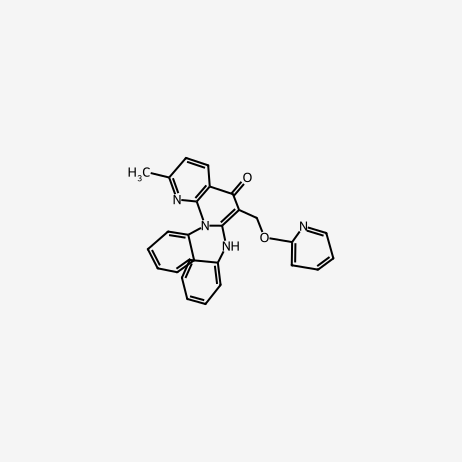 Cc1ccc2c(=O)c(COc3ccccn3)c(Nc3ccccc3)n(-c3ccccc3)c2n1